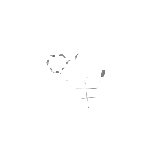 C#CC[C@@](O)(CC(C)(C)c1ccc(F)cc1C=O)C(F)(F)F